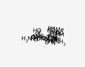 COC1C(OPOCC2OCC(OC)(n3cnc4c(N)ncnc43)C2OP(S)CC2OC(n3ccc(=O)[nH]c3=O)C(OC)C2OP)C(CO)OC1n1ccc(N)nc1=O